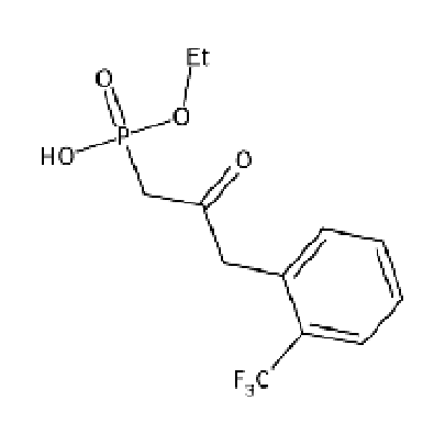 CCOP(=O)(O)CC(=O)Cc1ccccc1C(F)(F)F